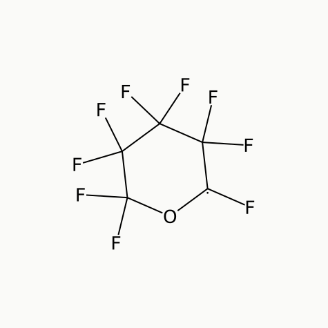 F[C]1OC(F)(F)C(F)(F)C(F)(F)C1(F)F